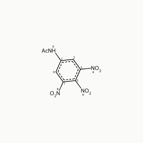 CC(=O)Nc1cc([N+](=O)[O-])c([N+](=O)[O-])c([N+](=O)[O-])c1